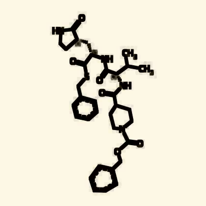 CC(C)[C@H](NC(=O)C1CCN(C(=O)OCc2ccccc2)CC1)C(=O)N[C@@H](C[C@@H]1CCNC1=O)C(=O)SCc1ccccc1